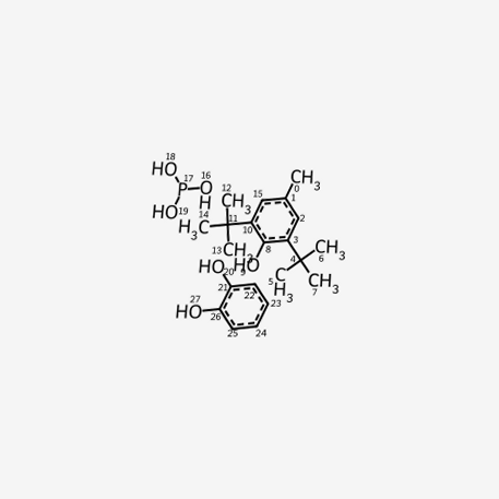 Cc1cc(C(C)(C)C)c(O)c(C(C)(C)C)c1.OP(O)O.Oc1ccccc1O